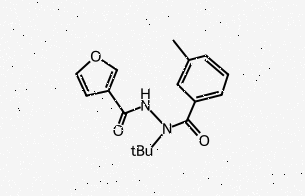 Cc1cccc(C(=O)N(NC(=O)c2ccoc2)C(C)(C)C)c1